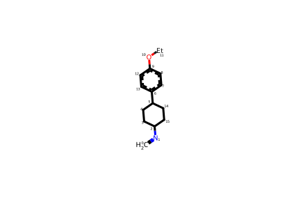 C=NC1CCC(c2ccc(OCC)cc2)CC1